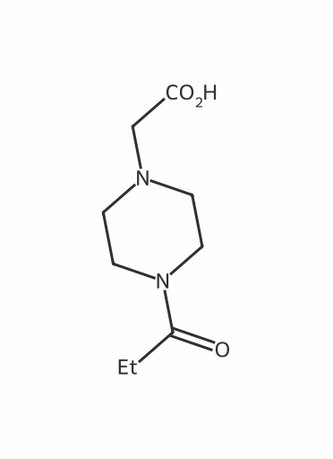 CCC(=O)N1CCN(CC(=O)O)CC1